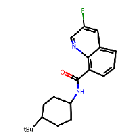 CC(C)(C)C1CCC(NC(=O)c2cccc3cc(F)cnc23)CC1